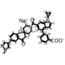 Cn1cc(-c2ccc3c(c2)C(=O)CC2(CCN(C(=O)c4cc(-c5cccc(C(=O)[O-])c5)c5ccn(C6CC6)c5c4)CC2)O3)cn1.[Na+]